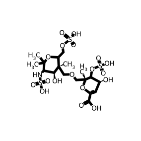 CC1(C)OC(COS(=O)(=O)O)[C@@](C)(COC[C@@]2(C)OC(C(=O)O)=C[C@@H](O)C2OS(=O)(=O)O)[C@@H](O)C1NS(=O)(=O)O